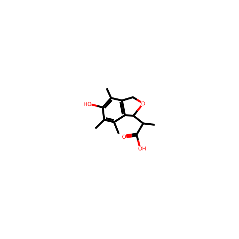 Cc1c(C)c2c(c(C)c1O)COC2C(C)C(=O)O